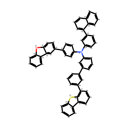 c1cc(-c2cccc(N(c3ccc(-c4ccc5oc6ccccc6c5c4)cc3)c3cccc(-c4cccc5ccccc45)c3)c2)cc(-c2cccc3c2sc2ccccc23)c1